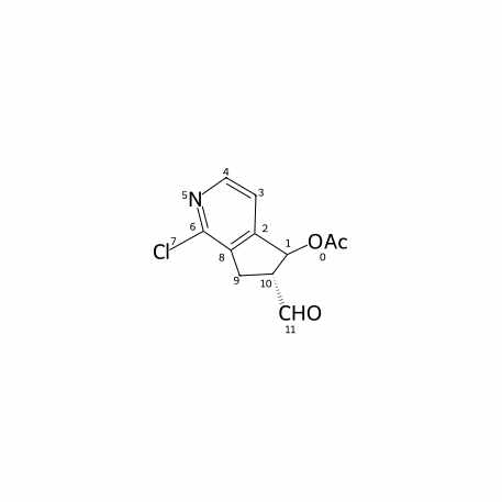 CC(=O)OC1c2ccnc(Cl)c2C[C@H]1C=O